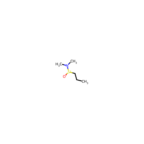 CCC[S+]([O-])N(C)C